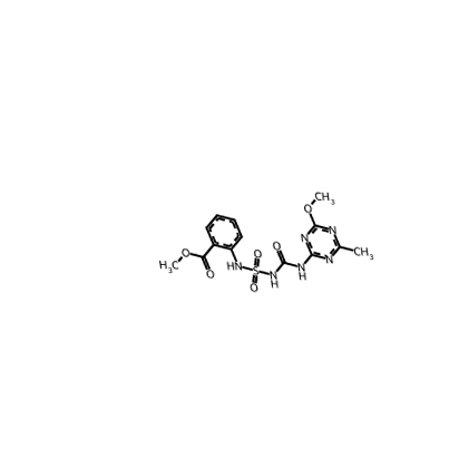 COC(=O)c1ccccc1NS(=O)(=O)NC(=O)Nc1nc(C)nc(OC)n1